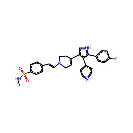 CCNS(=O)(=O)c1ccc(C=CN2CC=C(c3c[nH]c(-c4ccc(F)cc4)c3-c3ccncc3)CC2)cc1